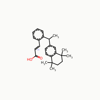 CC(c1ccc2c(c1)C(C)(C)CCC2(C)C)c1ccccc1/C=C/C(=O)O